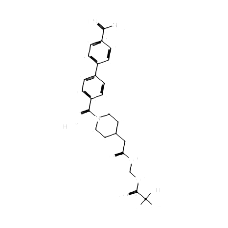 CC(C)(C)C(=O)OCOC(=O)CC1CCN(C(=O)c2ccc(-c3ccc(C(=N)N)cc3)cc2)CC1.Cl